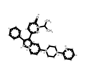 CC(C)n1nc(-c2c(-c3ccccc3)nn3ccc(N4CCN(c5ccccn5)CC4)cc23)ccc1=O